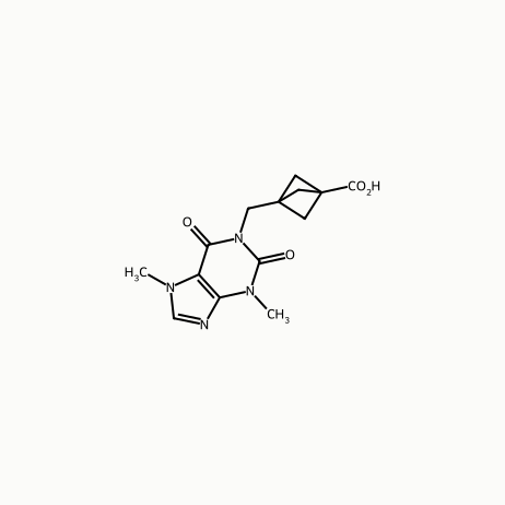 Cn1cnc2c1c(=O)n(CC13CC(C(=O)O)(C1)C3)c(=O)n2C